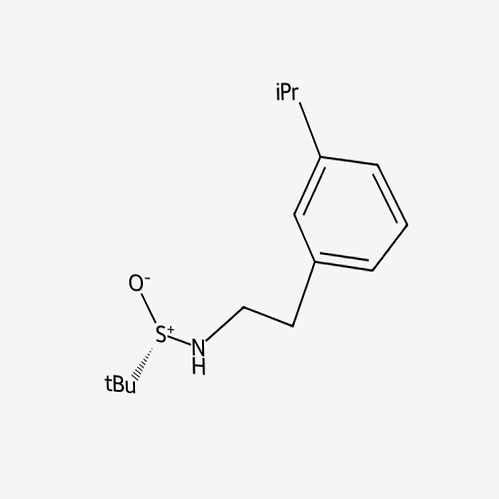 CC(C)c1cccc(CCN[S@@+]([O-])C(C)(C)C)c1